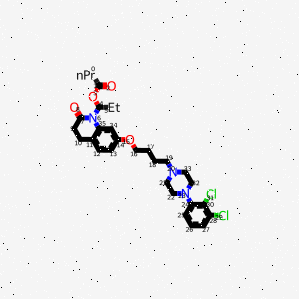 CCCC(=O)OC(CC)N1C(=O)CCc2ccc(OCCCCN3CCN(c4cccc(Cl)c4Cl)CC3)cc21